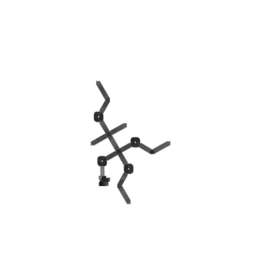 CCOC(C)(C)C([O][Zr])(OCC)OCC